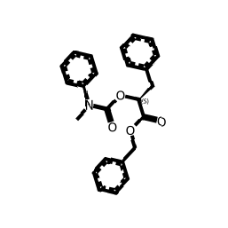 CN(C(=O)O[C@@H](Cc1ccccc1)C(=O)OCc1ccccc1)c1ccccc1